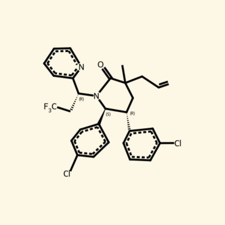 C=CCC1(C)C[C@H](c2cccc(Cl)c2)[C@@H](c2ccc(Cl)cc2)N([C@H](CC(F)(F)F)c2ccccn2)C1=O